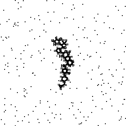 CNC(C)C(=O)NC(C(=O)N1CCCC1C(=O)Nc1cc2c(Nc3ccc(N4CCN(CC5CC5)CC4)c(F)c3)ncnc2cc1OC)C(C)(C)C